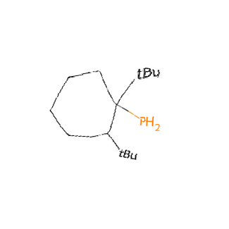 CC(C)(C)C1CCCCC1(P)C(C)(C)C